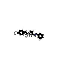 O=C(Cc1ccc(Cl)cc1)n1ccc(/C=C/c2ccccc2)n1